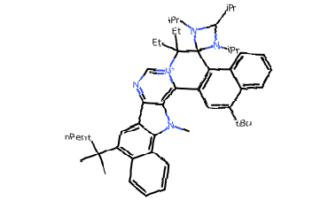 CCCCCC(C)(C)c1cc2c3nc[n+]4c(c3n(C)c2c2ccccc12)-c1cc(C(C)(C)C)c2ccccc2c1C1(N(C(C)C)C(C(C)C)N1C(C)C)C4(CC)CC